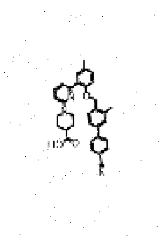 Cc1ccc(OCc2ccc(-c3ccc(C#N)cc3)cc2C)c(-c2cccc(N3CCC(C(=O)O)CC3)n2)c1